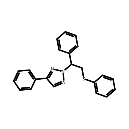 c1ccc(SCC(c2ccccc2)n2ncc(-c3ccccc3)n2)cc1